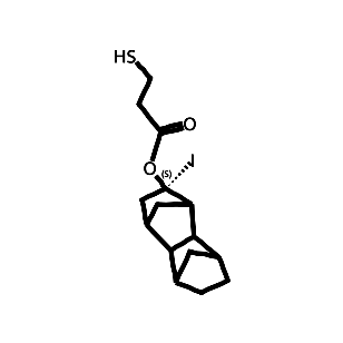 O=C(CCS)O[C@]1(I)CC2CC1C1C3CCC(C3)C21